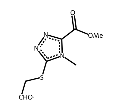 COC(=O)c1nnc(SC[C]=O)n1C